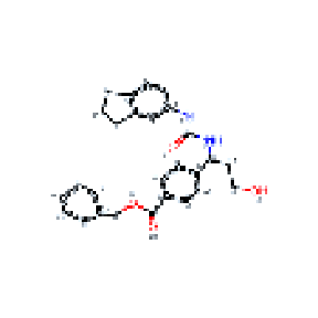 O=C(Nc1ccc2c(c1)CCC2)NC(CCO)c1ccc(C(=O)OCc2ccccc2)cc1